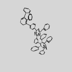 c1ccc(-c2cc(-c3ccc(-c4cccc5c4oc4ccccc45)cc3)nc(-c3cccc(-c4c(-c5ccccc5)c(-c5ccccc5)nc(-c5ccccc5)c4-c4ccccc4)c3)n2)cc1